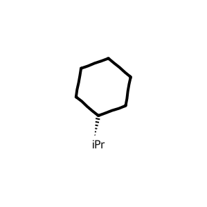 [CH2][C@@H](C)C1CCCCC1